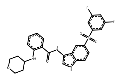 O=C(Nc1n[nH]c2ccc(S(=O)(=O)c3cc(F)cc(F)c3)cc12)c1ccccc1NC1CCOCC1